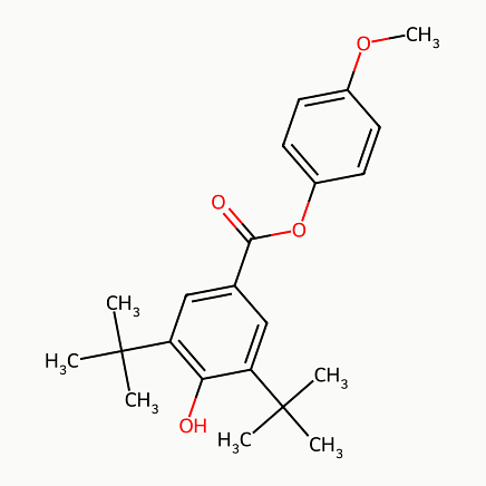 COc1ccc(OC(=O)c2cc(C(C)(C)C)c(O)c(C(C)(C)C)c2)cc1